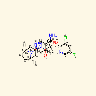 CC(C)(Oc1ncc(Cl)cc1Cl)C(=O)N[C@H]1C[C@H]2CC[C@@H](C1)N2c1ccc(C(N)=O)cn1